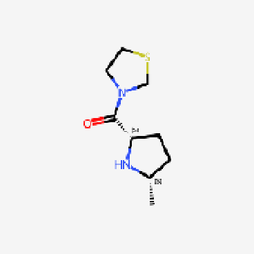 C[C@H]1CC[C@@H](C(=O)N2CCSC2)N1